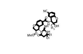 CCC1(CC)CC(=O)N([C@H]2c3cc(C(=O)N[C@@H]4c5cc(C#N)ccc5OC[C@@]4(C)O)ccc3OC[C@H]2OOC)C(=N)N1